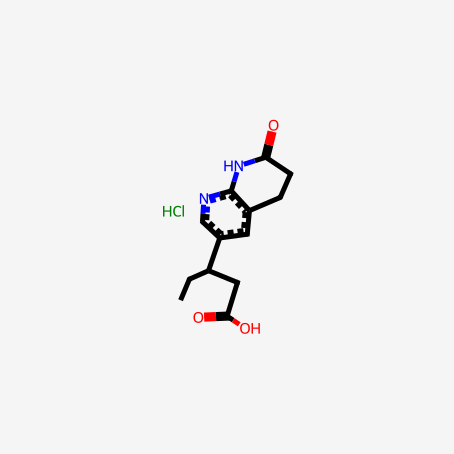 CCC(CC(=O)O)c1cnc2c(c1)CCC(=O)N2.Cl